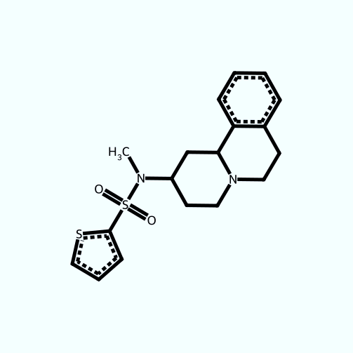 CN(C1CCN2CCc3ccccc3C2C1)S(=O)(=O)c1cccs1